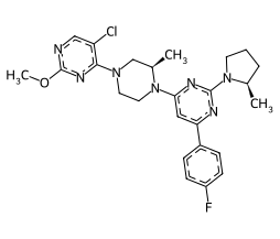 COc1ncc(Cl)c(N2CCN(c3cc(-c4ccc(F)cc4)nc(N4CCC[C@H]4C)n3)[C@H](C)C2)n1